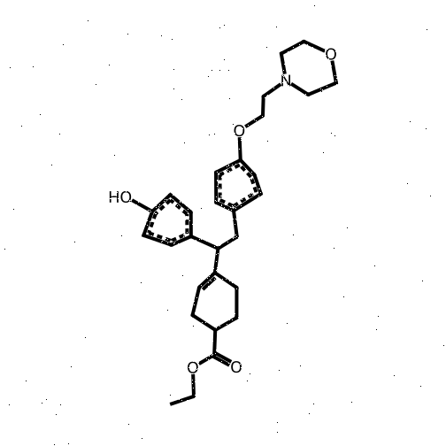 CCOC(=O)C1CC=C(C(Cc2ccc(OCCN3CCOCC3)cc2)c2ccc(O)cc2)CC1